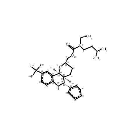 CCN(CCN(C)C)C(=O)OC[C@H]1CC[C@@H]2[C@H](O1)c1cc(C(F)(F)F)ccc1N[C@H]2c1ccccc1